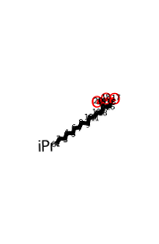 CC(C)CCCCCCCCCCCC=CC1CC(=O)OC1=O